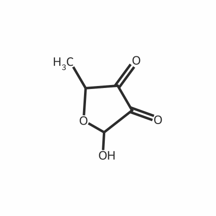 CC1OC(O)C(=O)C1=O